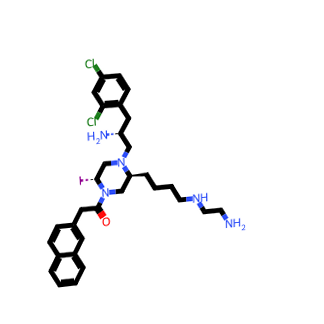 NCCNCCCC[C@H]1CN(C(=O)Cc2ccc3ccccc3c2)[C@H](I)CN1C[C@H](N)Cc1ccc(Cl)cc1Cl